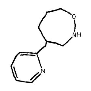 c1ccc(C2CCCONC2)nc1